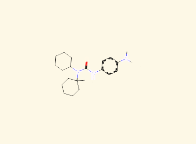 CN(C)c1ccc(NC(=O)N(C2CCCCC2)C2(C)CCCCC2)cc1